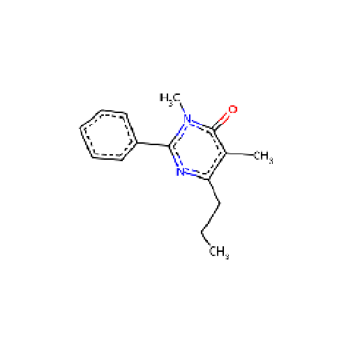 CCCc1nc(-c2ccccc2)n(C)c(=O)c1C